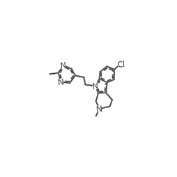 Cc1ncc(CCn2c3c(c4cc(Cl)ccc42)CCN(C)C3)cn1